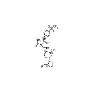 N#C[C@H]1CC(N2CCC[C@H]2CF)CC[C@@H]1N/C=C(\C(=N)Nc1ccc(S(=O)(=O)C(F)(F)F)cc1)C(N)=O